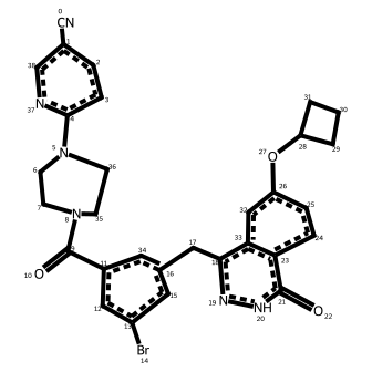 N#Cc1ccc(N2CCN(C(=O)c3cc(Br)cc(Cc4n[nH]c(=O)c5ccc(OC6CCC6)cc45)c3)CC2)nc1